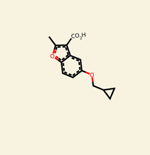 Cc1oc2ccc(OCC3CC3)cc2c1C(=O)O